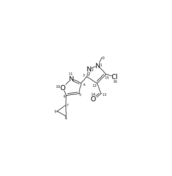 Cn1nc(-c2cc(C3CC3)on2)c(C=O)c1Cl